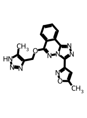 Cc1cc(-c2nnc3c4ccccc4c(OCc4nn[nH]c4C)nn23)no1